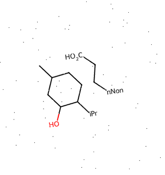 CC1CCC(C(C)C)C(O)C1.CCCCCCCCCCCC(=O)O